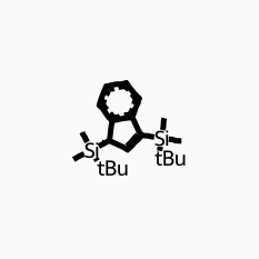 CC(C)(C)[Si](C)(C)[C]1C=C([Si](C)(C)C(C)(C)C)c2ccccc21